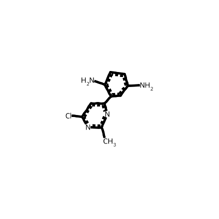 Cc1nc(Cl)cc(-c2cc(N)ccc2N)n1